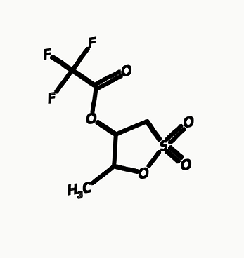 CC1OS(=O)(=O)CC1OC(=O)C(F)(F)F